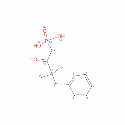 CC(C)(Cc1ccccc1)C(=O)CP(=O)(O)O